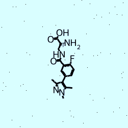 Cc1nn(C)c(C)c1-c1ccc(F)c(C(=O)NC[C@@H](N)C(=O)O)c1